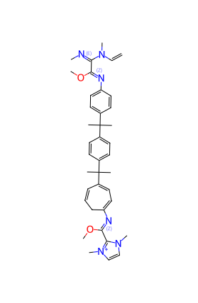 C=CN(C)C(=N/C)/C(=N/c1ccc(C(C)(C)c2ccc(C(C)(C)C3=CC=C(/N=C(\OC)c4n(C)cc[n+]4C)CC=C3)cc2)cc1)OC